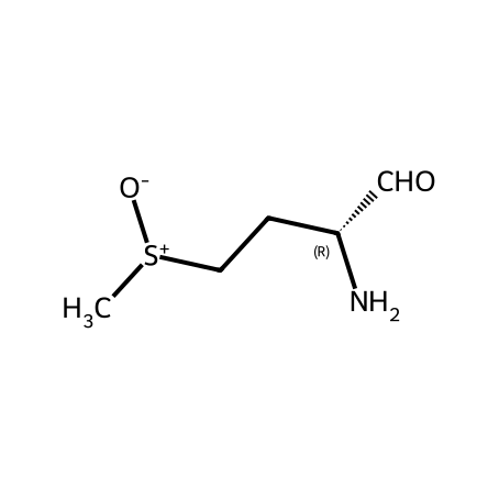 C[S+]([O-])CC[C@@H](N)C=O